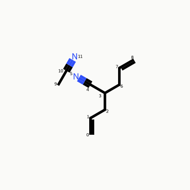 C=CCC(C#N)CC=C.CC#N